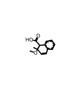 COC1(C)C=Cc2ccccc2C1C(=O)O